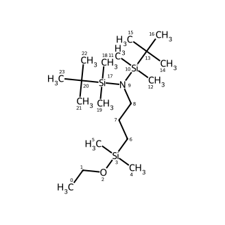 CCO[Si](C)(C)CCCN([Si](C)(C)C(C)(C)C)[Si](C)(C)C(C)(C)C